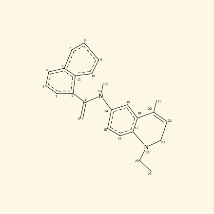 C=C(c1cccc2ccccc12)N(C)c1ccc2c(c1)C(C)=CCN2CC